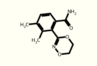 Cc1ccc(C(N)=O)c(C2=NOCCO2)c1C